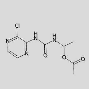 CC(=O)OC(C)NC(=O)Nc1nccnc1Cl